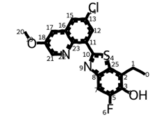 CCc1c(O)c(F)cc2nc(-c3cc(Cl)cc4cc(OC)cnc34)sc12